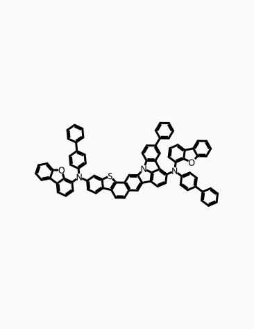 c1ccc(-c2ccc(N(c3ccc4c(c3)sc3c5cc6c(cc5ccc43)c3ccc(N(c4ccc(-c5ccccc5)cc4)c4cccc5c4oc4ccccc45)c4c5cc(-c7ccccc7)ccc5n6c34)c3cccc4c3oc3ccccc34)cc2)cc1